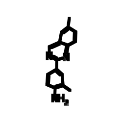 Cc1ccc2nc(-c3ccc(N)c(C)c3)ncc2c1